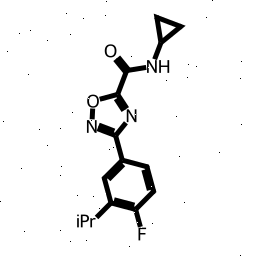 CC(C)c1cc(-c2noc(C(=O)NC3CC3)n2)ccc1F